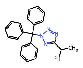 [2H]C(C)c1nnn(C(c2ccccc2)(c2ccccc2)c2ccccc2)n1